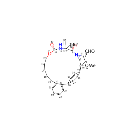 CO[C@@]12C[C@@H](C=O)N(C1)C(=O)[C@H](C(C)(C)C)NC(=O)OCCCCCc1ccccc1-c1ccc2cc1